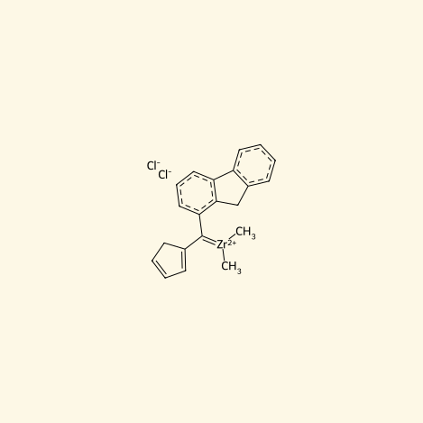 [CH3][Zr+2]([CH3])=[C](C1=CC=CC1)c1cccc2c1Cc1ccccc1-2.[Cl-].[Cl-]